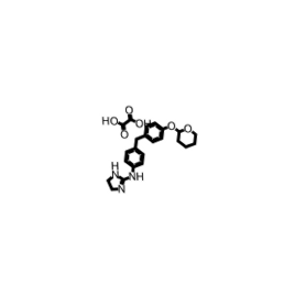 O=C(O)C(=O)O.c1cc(NC2=NCCN2)ccc1Cc1ccc(OC2CCCCO2)cc1